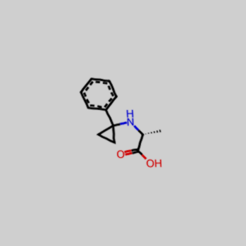 C[C@@H](NC1(c2ccccc2)CC1)C(=O)O